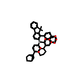 CC1(C)c2ccccc2-c2ccc(N(c3ccc(C4CC5CCC4C5)cc3)c3cc4ccccc4cc3C3CCCCC3)c(-c3ccc4ccccc4c3)c21